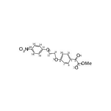 COC(=O)C(=O)c1ccc(OCCOc2ccc([N+](=O)[O-])cc2)cc1